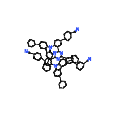 N#Cc1ccc(-c2ccc(-n3c4ccc(-c5ccccc5)cc4c4cc(-c5ccccc5)ccc43)c(-c3nc(-c4ccc(-c5cccc(C#N)c5)cc4)nc(-c4cc(-c5ccc(C#N)cc5)ccc4-n4c5ccc(-c6ccccc6)cc5c5cc(-c6ccccc6)ccc54)n3)c2)cc1